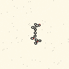 c1ccc2c(c1)cc(-n1c3ccccc3c3cc(-c4ccc(-c5ccc6c(c5)c5ccccc5n6-c5cc6c7ccccc7n7c8ccccc8c(c5)c67)cc4)ccc31)c1ccccc12